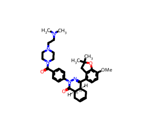 COc1ccc(C2=NN(c3ccc(C(=O)N4CCN(CCN(C)C)CC4)cc3)C(=O)[C@@H]3CC=CC[C@H]23)c2c1OC(C)(C)C2